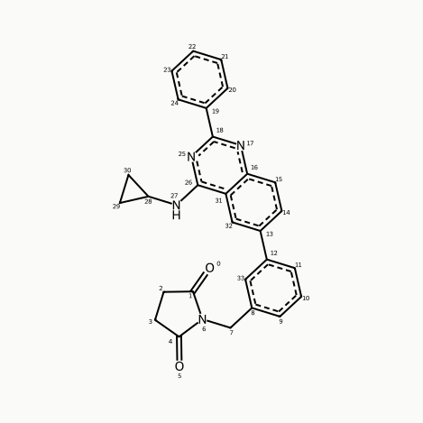 O=C1CCC(=O)N1Cc1cccc(-c2ccc3nc(-c4ccccc4)nc(NC4CC4)c3c2)c1